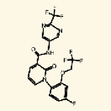 O=C(Nc1cnc(C(F)(F)F)nc1)c1cccn(-c2ccc(F)cc2OCC(F)(F)F)c1=O